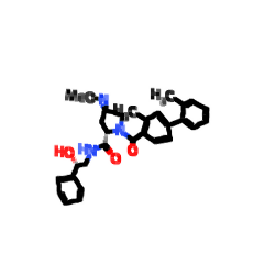 CO/N=C1\C[C@@H](C(=O)NC[C@@H](O)c2ccccc2)N(C(=O)c2ccc(-c3ccccc3C)cc2C)C1